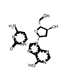 Nc1cc[nH]c(=O)n1.OC[C@H]1O[C@@H](n2cnc3c(O)ncnc32)C[C@@H]1O